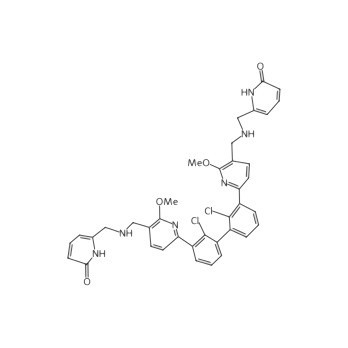 COc1nc(-c2cccc(-c3cccc(-c4ccc(CNCc5cccc(=O)[nH]5)c(OC)n4)c3Cl)c2Cl)ccc1CNCc1cccc(=O)[nH]1